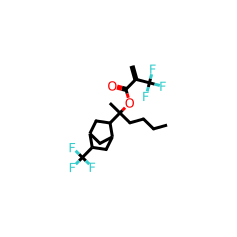 C=C(C(=O)OC(C)(CCCC)C1CC2CC1CC2C(F)(F)F)C(F)(F)F